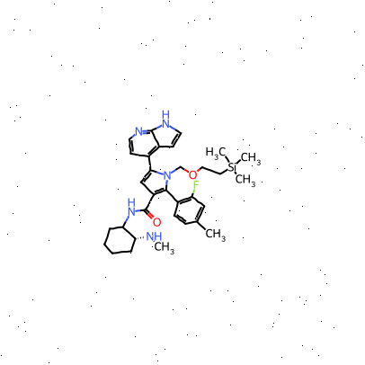 CN[C@@H]1CCCCC1NC(=O)c1cc(-c2ccnc3[nH]ccc23)n(COCC[Si](C)(C)C)c1-c1ccc(C)cc1F